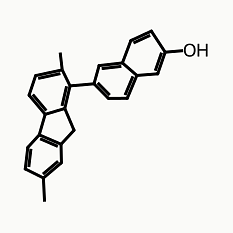 Cc1ccc2c(c1)Cc1c-2ccc(C)c1-c1ccc2cc(O)ccc2c1